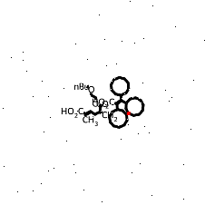 C=C(CC=C(C)C(=O)O)C(=O)OCCOCCCC.O=C(O)C(=C(C1CCCCCCCCC1)C1CCCCCCCCC1)C1CCCCCCCCC1